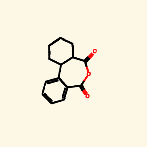 O=C1OC(=O)C2CCCCC2c2ccccc21